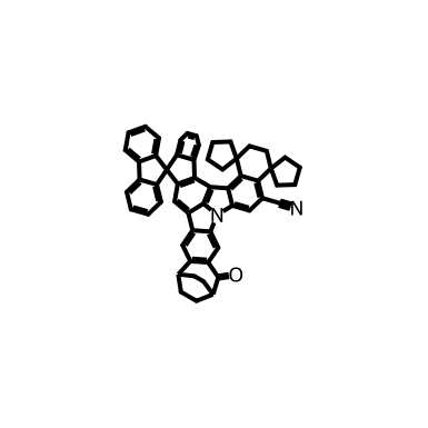 N#Cc1cc2c(c3c1C1(CCCC1)CCC31CCCC1)c1c3c(cc4c5cc6c(cc5n2c41)C(=O)C1CCC6CC1)C1(c2ccccc2-c2ccccc21)c1ccccc1-3